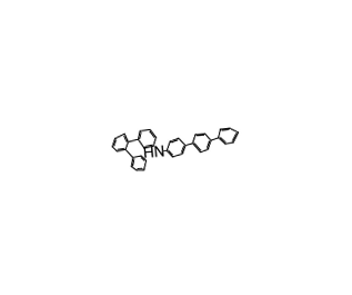 c1ccc(-c2ccc(-c3ccc(Nc4cccc(-c5ccccc5-c5ccccc5)c4)cc3)cc2)cc1